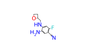 N#Cc1cc(N)c(NCC2CCO2)cc1F